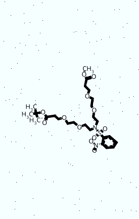 COC(=O)CCOCCOCCN(CCOCCOCCC(=O)OC(C)(C)C)S(=O)(=O)c1ccccc1[N+](=O)[O-]